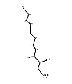 O=S(=O)(O)CC(F)C(F)CCCCCCCF